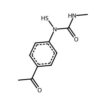 CNC(=O)N(S)c1ccc(C(C)=O)cc1